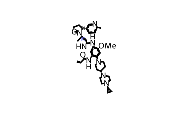 C=CC(=O)Nc1cc(NC(=N)/C=C(\C)N2OCC[C@@H]2c2ccc(C)nc2)c(OC)cc1N1CCC(N2CCN(C3CC3)CC2)CC1